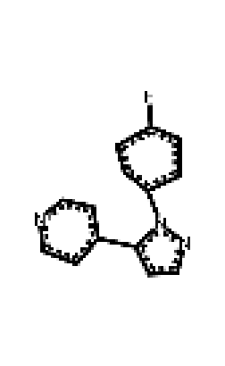 Fc1ccc(-n2nccc2-c2ccncc2)cc1